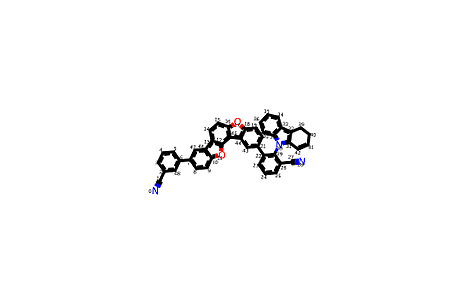 N#Cc1cccc(-c2ccc3oc4c(ccc5oc6ccc(-c7cccc(C#N)c7-n7c8c(c9ccccc97)CCC=C8)cc6c54)c3c2)c1